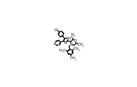 Cc1cc(C)c(CN2CC(C)OC(C)C2c2nc(-c3ccncc3)c(-c3ccc(Cl)cc3)[nH]2)c(C)c1